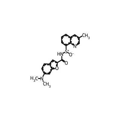 Cc1cnc2c([S+]([O-])NC(=O)c3cc4ccc(N(C)C)cc4o3)cccc2c1